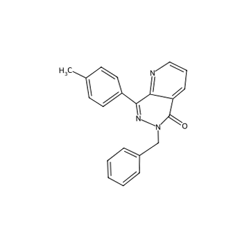 Cc1ccc(-c2nn(Cc3ccccc3)c(=O)c3cccnc23)cc1